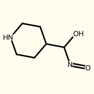 O=NC(O)C1CCNCC1